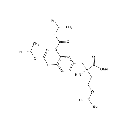 CCC(C)C(=O)OCC[C@@](N)(Cc1ccc(OC(=O)O[C@@H](C)C(C)C)c(OC(=O)OC(C)C(C)C)c1)C(=O)OC